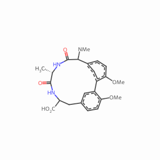 CNC1C(=O)N[C@@H](C)C(=O)NC(C(=O)O)Cc2ccc(OC)c(c2)-c2cc1ccc2OC